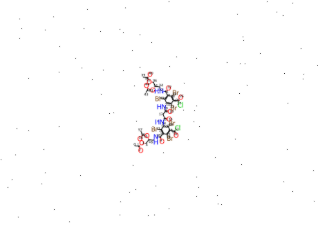 CC(=O)OCC(CNC(=O)c1c(Br)c(NC(=O)CC(=O)Nc2c(Br)c(C(=O)Cl)c(Br)c(C(=O)NCC(COC(C)=O)OC(C)=O)c2Br)c(Br)c(C(=O)Cl)c1Br)OC(C)=O